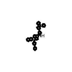 c1ccc(-c2ccc(N(c3ccc4ccccc4c3)c3ccc4c5c(cccc35)-c3c-4[nH]c4ccc(-c5ccc6c7ccccc7n(-c7ccccc7)c6c5)cc34)cc2)cc1